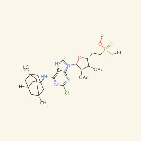 CCOP(=O)(CC[C@H]1O[C@@H](n2cnc3c(N[C@@]45C[C@@H]6C[C@@](C)(C[C@@](C)(C6)C4)C5)nc(Cl)nc32)C(OC(C)=O)C1OC(C)=O)OCC